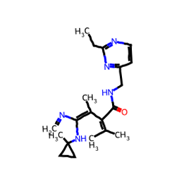 C=N/C(NC1(C)CC1)=C(\C)C(C(=O)NCc1ccnc(CC)n1)=C(C)C